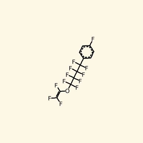 FC(F)=C(F)OC(F)(F)C(F)(F)C(F)(F)C(F)(F)c1ccc(F)cc1